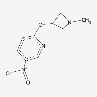 CN1CC(Oc2ccc([N+](=O)[O-])cn2)C1